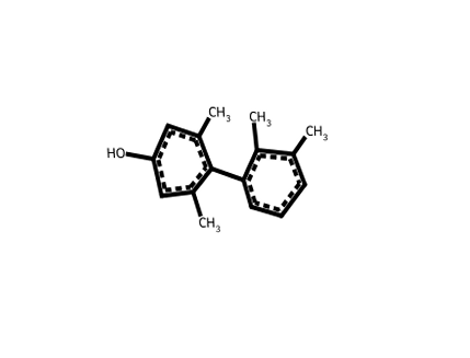 Cc1cccc(-c2c(C)cc(O)cc2C)c1C